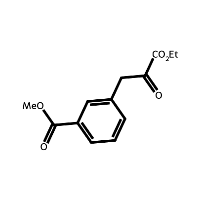 CCOC(=O)C(=O)Cc1cccc(C(=O)OC)c1